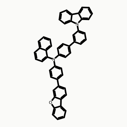 c1cc(-c2ccc(N(c3ccc(-c4ccc5c(c4)oc4ccccc45)cc3)c3cccc4ccccc34)cc2)cc(-n2c3ccccc3c3ccccc32)c1